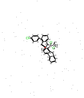 CCC1=Cc2c(-c3ccc(Cl)cc3)cccc2[CH]1[Zr]([Cl])([Cl])([c]1cccc2c1Cc1ccccc1-2)[SiH](C)C